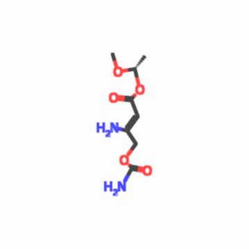 CO[C@H](C)OC(=O)/C=C(\N)COC(N)=O